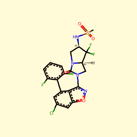 CS(=O)(=O)N[C@@H]1CN2C(=O)N(c3noc4cc(Cl)cc(-c5c(F)cccc5F)c34)C[C@@H]2C1(F)F